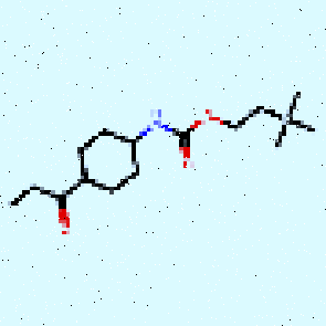 CCC(=O)C1CCC(NC(=O)OCC[Si](C)(C)C)CC1